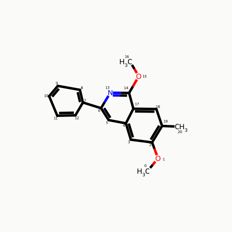 COc1cc2cc(-c3ccccc3)nc(OC)c2cc1C